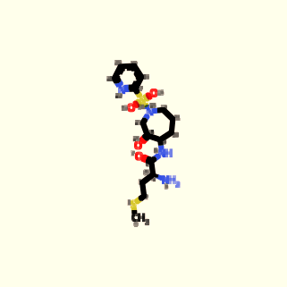 CSCC[C@H](N)C(=O)NC1CCCN(S(=O)(=O)c2ccccn2)CC1=O